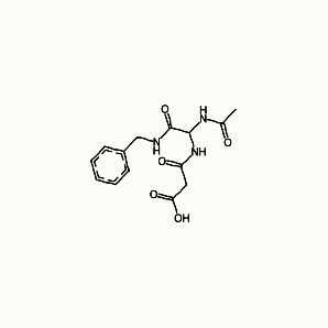 CC(=O)NC(NC(=O)CC(=O)O)C(=O)NCc1ccccc1